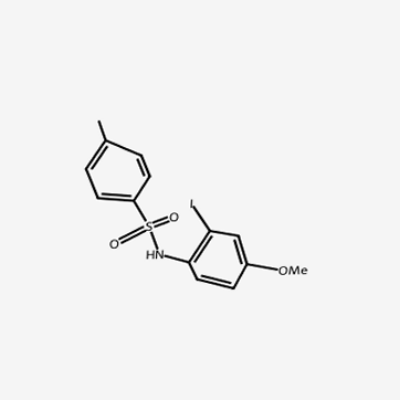 COc1ccc(NS(=O)(=O)c2ccc(C)cc2)c(I)c1